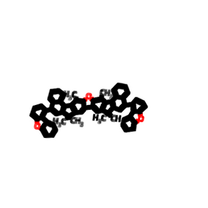 Cc1c2c(cc3c1oc1c(C)c4c(cc13)C(C)(C)c1cc(-c3cccc5oc6ccccc6c35)c3ccccc3c1-4)C(C)(C)c1cc(-c3cccc4oc5ccccc5c34)c3ccccc3c1-2